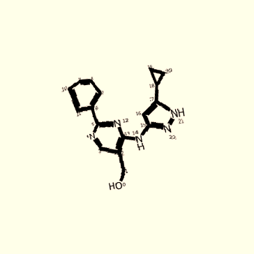 OCc1cnc(-c2ccccc2)nc1Nc1cc(C2CC2)[nH]n1